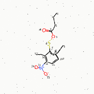 CCCC(=O)OSc1c(C)ccc([N+](=O)[O-])c1C